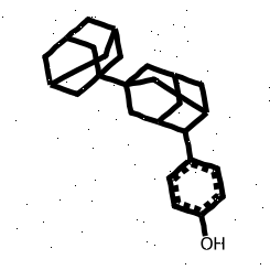 Oc1ccc(C2C3CC4CC2CC(C25CC6CC(CC(C6)C2)C5)(C4)C3)cc1